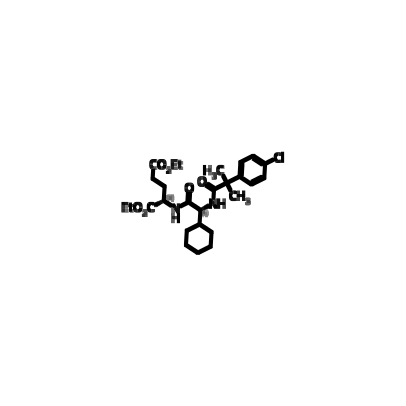 CCOC(=O)CC[C@@H](NC(=O)[C@@H](NC(=O)C(C)(C)c1ccc(Cl)cc1)C1CCCCC1)C(=O)OCC